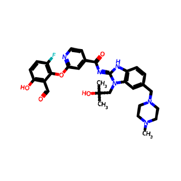 CN1CCN(Cc2ccc3[nH]/c(=N\C(=O)c4ccnc(Oc5c(F)ccc(O)c5C=O)c4)n(CC(C)(C)O)c3c2)CC1